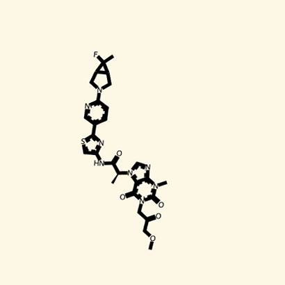 COCC(=O)Cn1c(=O)c2c(ncn2[C@@H](C)C(=O)Nc2csc(-c3ccc(N4CC5C(C4)C5(C)F)nc3)n2)n(C)c1=O